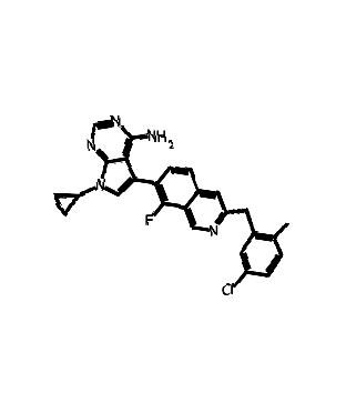 Cc1ccc(Cl)cc1Cc1cc2ccc(-c3cn(C4CC4)c4ncnc(N)c34)c(F)c2cn1